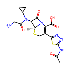 CC(=O)Nc1nnc(C2=C(C(=O)O)N3C(=O)C(N(C(=O)CN)C4CC4)[C@@H]3SC2)s1